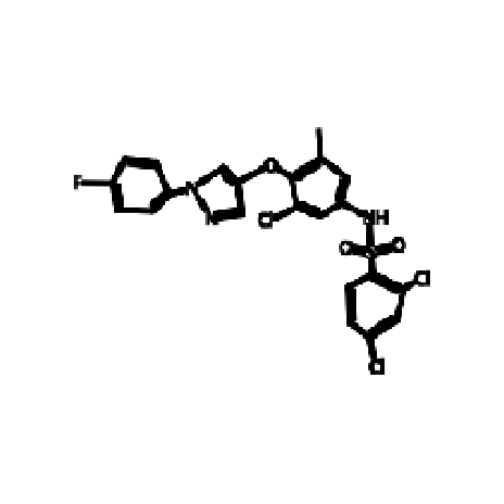 Cc1cc(NS(=O)(=O)c2ccc(Cl)cc2Cl)cc(Cl)c1Oc1cnn(-c2ccc(F)cc2)c1